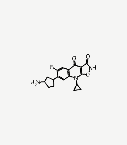 NC1CCC(c2cc3c(cc2F)c(=O)c2c(=O)[nH]oc2n3C2CC2)C1